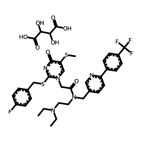 CCN(CC)CCN(Cc1ccc(-c2ccc(C(F)(F)F)cc2)nc1)C(=O)Cn1cc(SC)c(=O)nc1SCc1ccc(F)cc1.O=C(O)C(O)C(O)C(=O)O